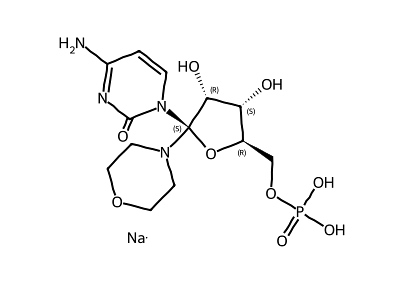 Nc1ccn([C@]2(N3CCOCC3)O[C@H](COP(=O)(O)O)[C@@H](O)[C@H]2O)c(=O)n1.[Na]